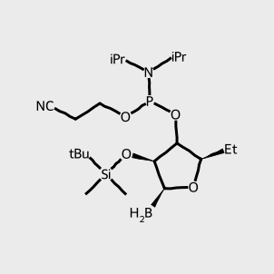 B[C@@H]1O[C@H](CC)C(OP(OCCC#N)N(C(C)C)C(C)C)[C@@H]1O[Si](C)(C)C(C)(C)C